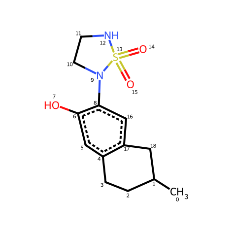 CC1CCc2cc(O)c(N3CCNS3(=O)=O)cc2C1